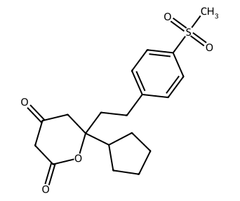 CS(=O)(=O)c1ccc(CCC2(C3CCCC3)CC(=O)CC(=O)O2)cc1